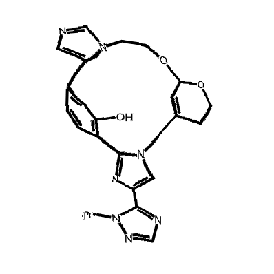 CC(C)n1ncnc1-c1cn2c(n1)-c1ccc(cc1O)-c1cncn1CCOC1C=C(CCO1)C2